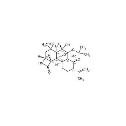 C=C(C)[C@@H]1CC[C@H]2[C@@]34COC5(OC(C)(C)O[C@H]1[C@@]25C(C)=O)[C@@H](O)[C@@H]3C(C)(C)C[C@H]1NC(=O)[C@H]14